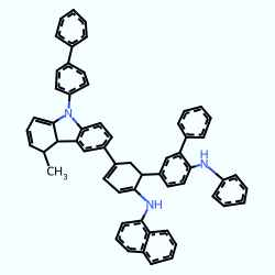 CC1C=CC=C2C1c1cc(C3=CC=C(Nc4cccc5ccccc45)C(c4ccc(Nc5ccccc5)c(-c5ccccc5)c4)C3)ccc1N2c1ccc(-c2ccccc2)cc1